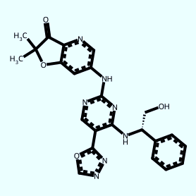 CC1(C)Oc2cc(Nc3ncc(-c4nnco4)c(N[C@H](CO)c4ccccc4)n3)cnc2C1=O